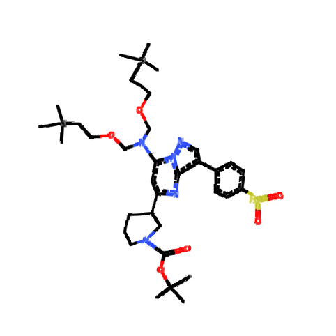 CC(C)(C)OC(=O)N1CCCC(c2cc(N(COCC[Si](C)(C)C)COCC[Si](C)(C)C)n3ncc(-c4ccc([SH](=O)=O)cc4)c3n2)C1